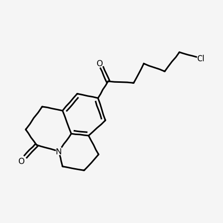 O=C(CCCCCl)c1cc2c3c(c1)CCC(=O)N3CCC2